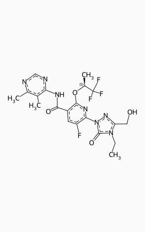 CCn1c(CO)nn(-c2nc(O[C@@H](C)C(F)(F)F)c(C(=O)Nc3ncnc(C)c3C)cc2F)c1=O